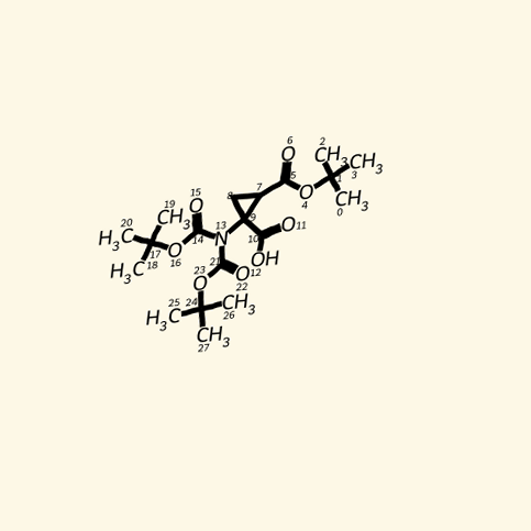 CC(C)(C)OC(=O)C1CC1(C(=O)O)N(C(=O)OC(C)(C)C)C(=O)OC(C)(C)C